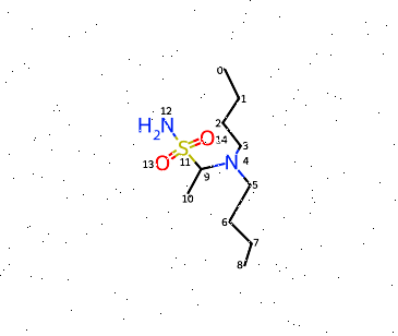 CCCCN(CCCC)C(C)S(N)(=O)=O